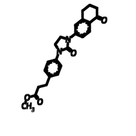 COC(=O)CCc1ccc(N2CCN(c3ccc4c(c3)CCCC4=O)C2=O)cc1